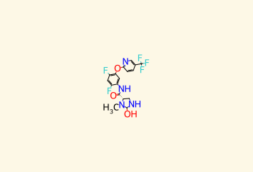 CN1C(O)NC[C@H]1C(=O)Nc1cc(Oc2ccc(C(F)(F)F)cn2)c(F)cc1F